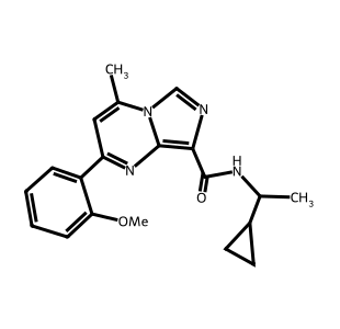 COc1ccccc1-c1cc(C)n2cnc(C(=O)NC(C)C3CC3)c2n1